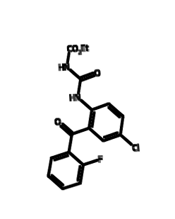 CCOC(=O)NC(=O)Nc1ccc(Cl)cc1C(=O)c1ccccc1F